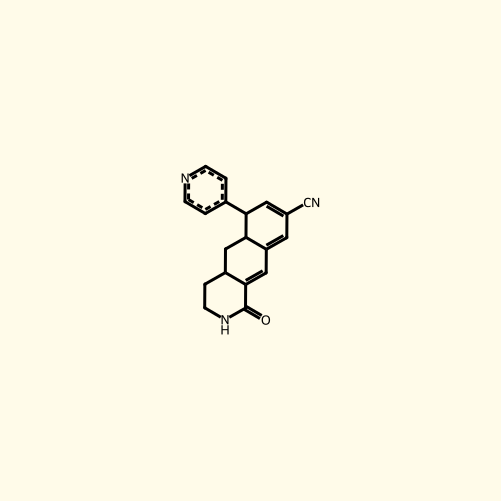 N#CC1=CC(c2ccncc2)C2CC3CCNC(=O)C3=CC2=C1